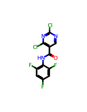 O=C(Nc1c(F)cc(F)cc1F)c1cnc(Cl)nc1Cl